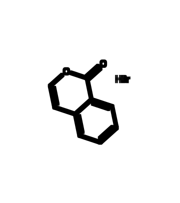 Br.O=c1occc2ccccc12